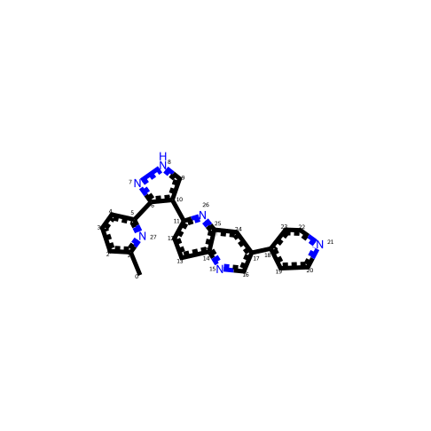 Cc1cccc(-c2n[nH]cc2-c2ccc3ncc(-c4ccncc4)cc3n2)n1